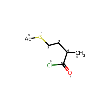 CC(=O)SCCC(C)C(=O)Cl